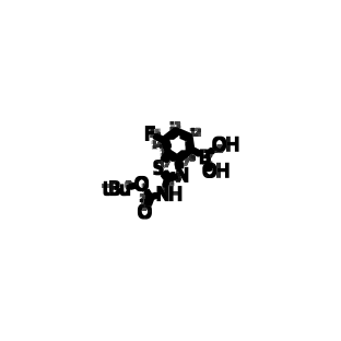 CC(C)(C)OC(=O)Nc1nc2c(B(O)O)ccc(F)c2s1